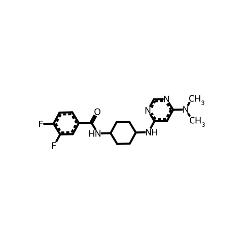 CN(C)c1cc(NC2CCC(NC(=O)c3ccc(F)c(F)c3)CC2)ncn1